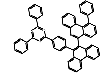 c1ccc(-c2nc(-c3ccccc3)nc(-c3ccc(-c4c(-c5nc6ccccc6c6c(-c7ccccc7)cccc56)c5ccccc5c5ccccc45)cc3)n2)cc1